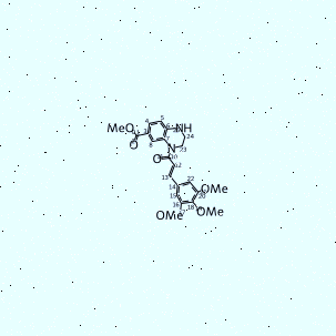 COC(=O)c1ccc2c(c1)N(C(=O)C=Cc1cc(OC)c(OC)c(OC)c1)CCN2